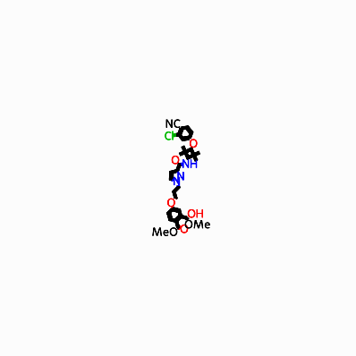 COC(=O)c1ccc(OCCCn2ccc(C(=O)N[C@H]3C(C)(C)[C@H](Oc4ccc(C#N)c(Cl)c4)C3(C)C)n2)cc1C(O)OC